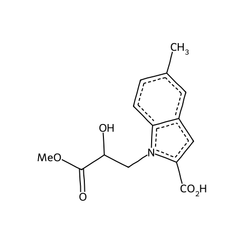 COC(=O)C(O)Cn1c(C(=O)O)cc2cc(C)ccc21